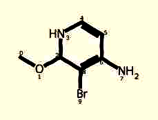 COC1NC=CC(N)=C1Br